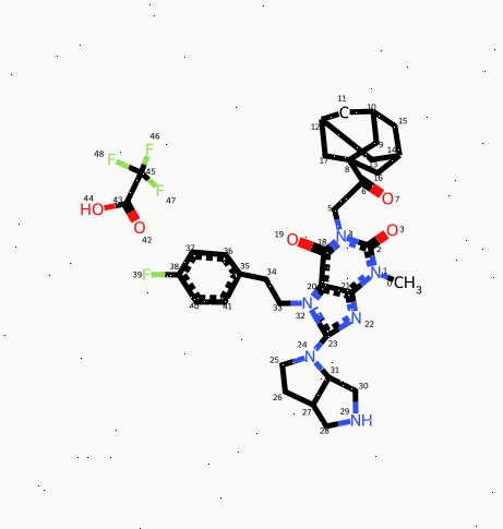 Cn1c(=O)n(CC(=O)C23CC4CC(CC(C4)C2)C3)c(=O)c2c1nc(N1CCC3CNCC31)n2CCc1ccc(F)cc1.O=C(O)C(F)(F)F